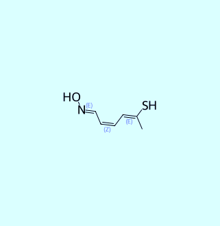 C\C(S)=C/C=C\C=N\O